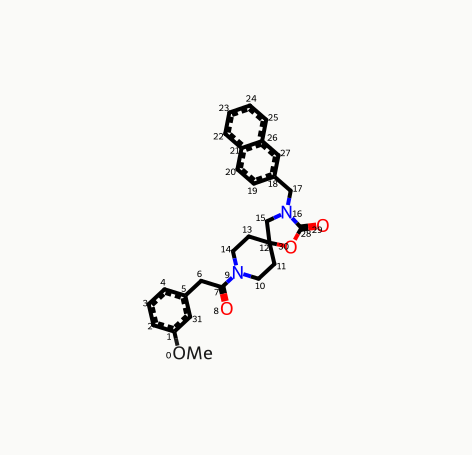 COc1cccc(CC(=O)N2CCC3(CC2)CN(Cc2ccc4ccccc4c2)C(=O)O3)c1